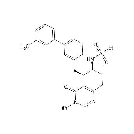 CCS(=O)(=O)N[C@H]1CCc2ncn(C(C)C)c(=O)c2[C@H]1Cc1cccc(-c2cccc(C)c2)c1